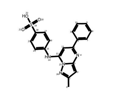 Cc1cc2nc(-c3ccccc3)cc(Nc3ccc(S(=O)(=O)O)cc3)n2n1